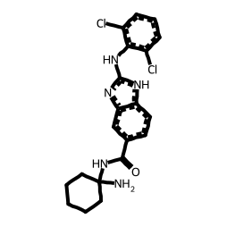 NC1(NC(=O)c2ccc3[nH]c(Nc4c(Cl)cccc4Cl)nc3c2)CCCCC1